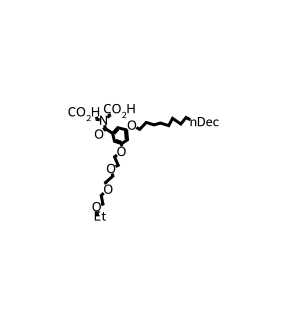 CCCCCCCCCCCCCCCCCCOc1cc(OCCOCCOCCOCC)cc(C(=O)N(CC(=O)O)CC(=O)O)c1